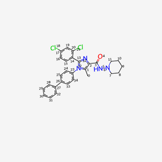 Cc1c(C(=O)NN2CCCCC2)nc(-c2ccc(Cl)cc2Cl)n1-c1ccc(-c2ccccc2)cc1